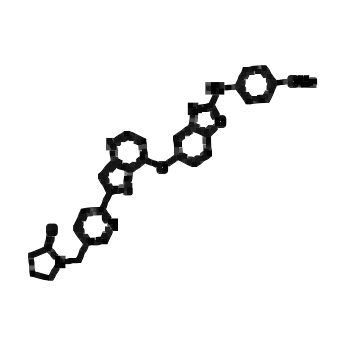 COc1ccc(Nc2nc3cc(Oc4ccnc5cc(-c6ccc(CN7CCCC7=O)cn6)sc45)ccc3o2)cc1